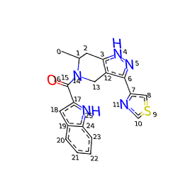 CC1Cc2[nH]nc(-c3cscn3)c2CN1C(=O)c1cc2ccccc2[nH]1